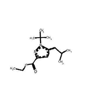 CCOC(=O)c1cc(CC(C)C)n(C(C)(C)C)n1